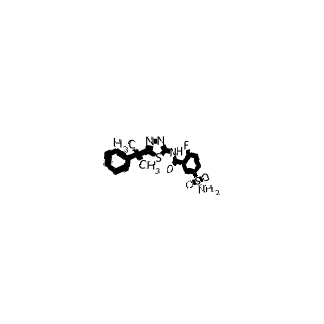 CC(C)(c1ccccc1)c1nnc(NC(=O)c2cc(S(N)(=O)=O)ccc2F)s1